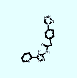 O=C(Cc1ccc(-n2cnnn2)cc1)Nc1nnc(-c2ccccn2)[nH]1